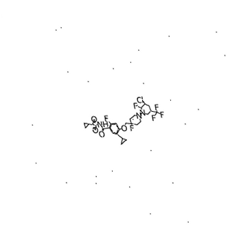 O=C(NS(=O)(=O)C1CC1)c1cc(C2CC2)c(OCC2(F)CCN(N3CC(C(F)(F)F)CC(Cl)C3F)CC2)cc1F